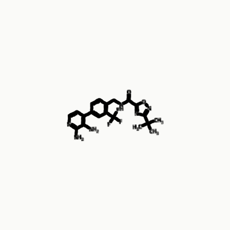 CC(C)(C)c1noc(C(=O)NCc2ccc(-c3ccnc(N)c3N)cc2C(F)(F)F)n1